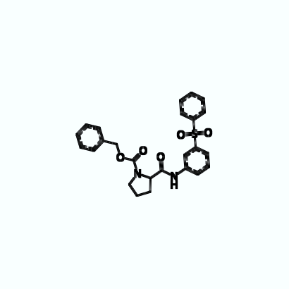 O=C(Nc1cccc(S(=O)(=O)c2ccccc2)c1)C1CCCN1C(=O)OCc1ccccc1